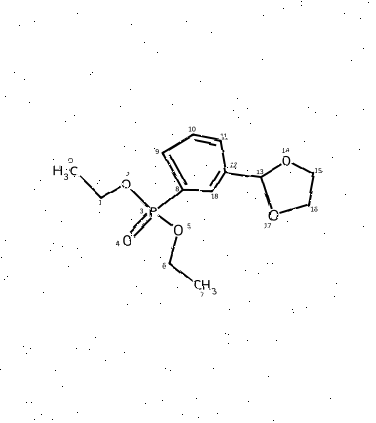 CCOP(=O)(OCC)c1cccc(C2OCCO2)c1